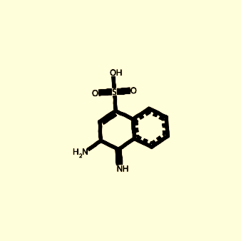 N=C1c2ccccc2C(S(=O)(=O)O)=CC1N